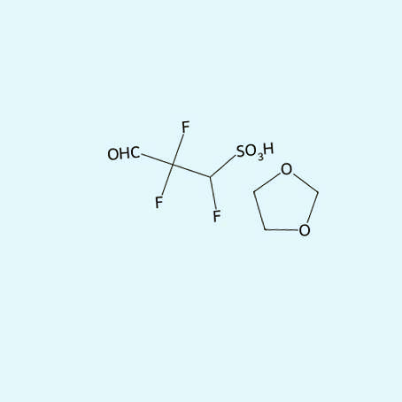 C1COCO1.O=CC(F)(F)C(F)S(=O)(=O)O